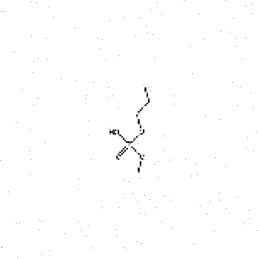 CCCOP(O)(=S)OC